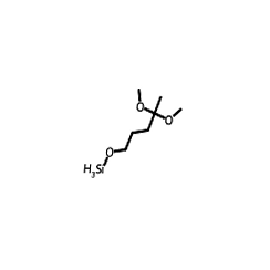 COC(C)(CCCO[SiH3])OC